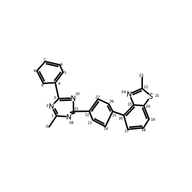 Cc1nc(-c2ccccc2)nc(-c2ccc(-c3cccc4sc(C)nc34)cc2)n1